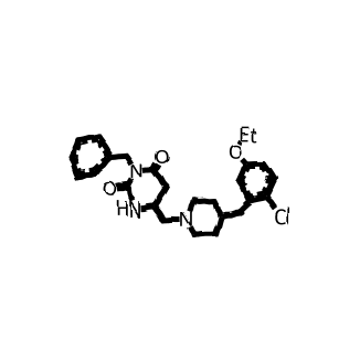 CCOc1ccc(Cl)c(CC2CCN(CC3CC(=O)N(Cc4ccccc4)C(=O)N3)CC2)c1